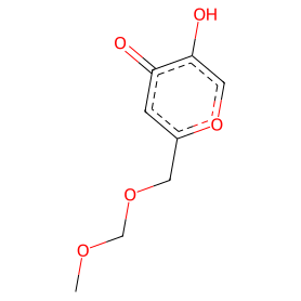 COCOCc1cc(=O)c(O)co1